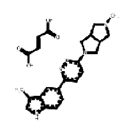 Cc1c[nH]c2ccc(-c3ccc(N4CC5CN(C)CC5C4)nn3)cc12.O=C(O)C=CC(=O)O